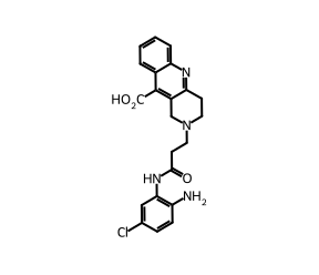 Nc1ccc(Cl)cc1NC(=O)CCN1CCc2nc3ccccc3c(C(=O)O)c2C1